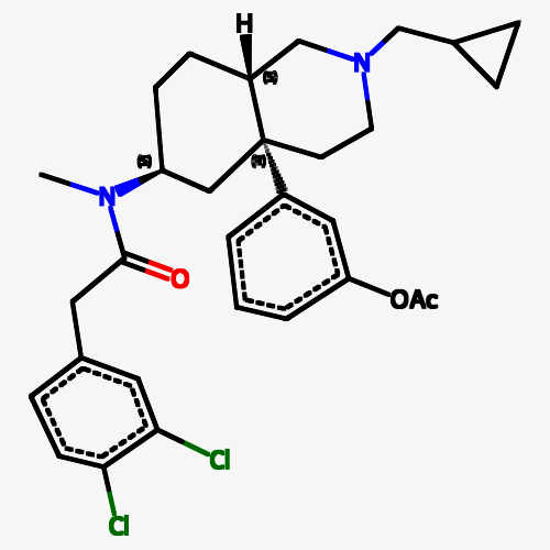 CC(=O)Oc1cccc([C@@]23CCN(CC4CC4)C[C@H]2CC[C@H](N(C)C(=O)Cc2ccc(Cl)c(Cl)c2)C3)c1